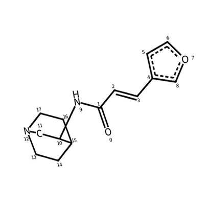 O=C(/C=C/c1ccoc1)NC1CN2CCC1CC2